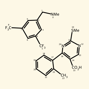 CNCc1cc(C(F)(F)F)cc(C(F)(F)F)c1.CSc1ncc(C(=O)O)c(-c2ccccc2C)n1